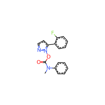 CN(C(=O)On1nccc1-c1ccccc1F)c1ccccc1